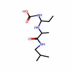 CCC(NC(=O)O)NC(C)C(=O)NCC(C)C